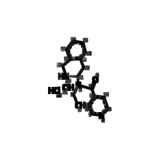 CCN(C(=O)c1ccncc1)C1Cc2ccccc2CN1.Cl.Cl